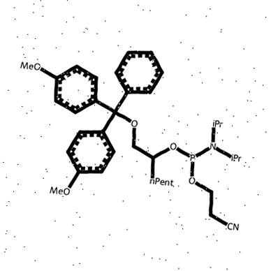 CCCCCC(COC(c1ccccc1)(c1ccc(OC)cc1)c1ccc(OC)cc1)OP(OCCC#N)N(C(C)C)C(C)C